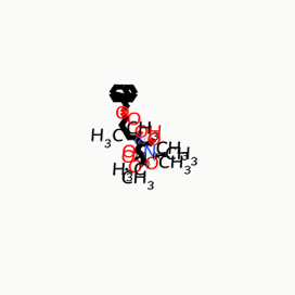 CCOC(=O)[C@@]12C(=O)/C(=C(/O)CC(C)(C)CC(=O)OCC34CC5CC(CC(C5)C3)C4)C(=O)N1[C@@H](C(C)(C)C)O[C@@H]2C